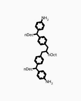 CCCCCCCCCCC(c1ccc(N)cc1)c1ccc(CC(CCCCCCCC)Cc2ccc(C(CCCCCCCCCC)c3ccc(N)cc3)cc2)cc1